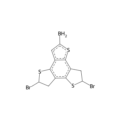 Bc1cc2c3c(c4c(c2s1)CC(Br)S4)CC(Br)S3